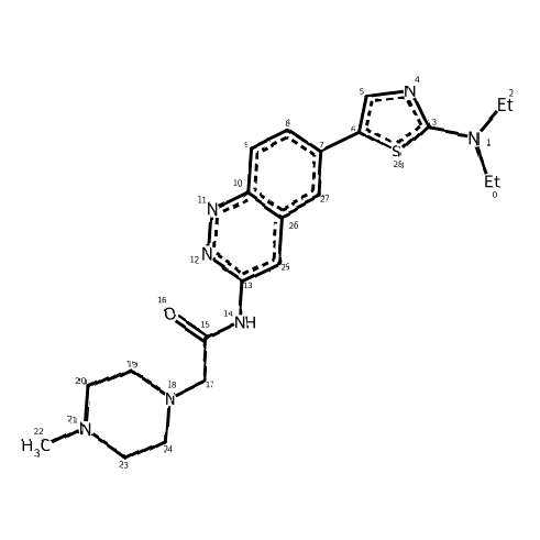 CCN(CC)c1ncc(-c2ccc3nnc(NC(=O)CN4CCN(C)CC4)cc3c2)s1